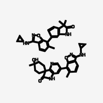 Cc1ccc2c(NC3CC3)noc2c1-c1ccc2c(c1)NC(=O)C2(C)C.Cc1ccc2c(NC3CC3)noc2c1-c1cnc2c(c1)NC(=O)C21CCC(C)(O)CC1